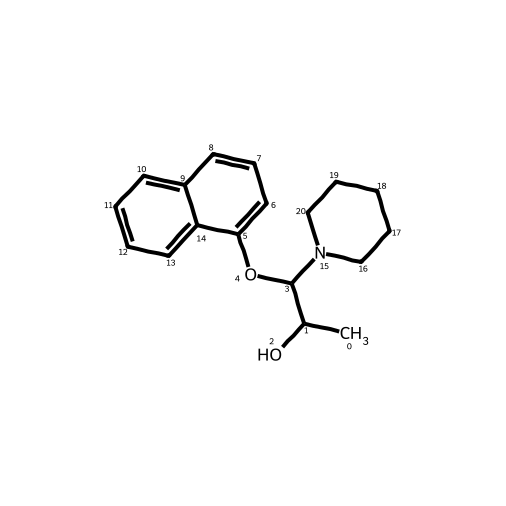 CC(O)C(Oc1cccc2ccccc12)N1CCCCC1